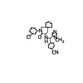 Cn1cncc1C(NC1Cc2ccccc2CN(c2cccc(Cl)c2)C1=O)c1ccc(C#N)cc1